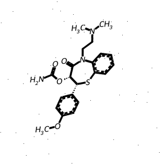 COc1ccc([C@H]2Sc3ccccc3N(CCN(C)C)C(=O)[C@H]2OC(N)=O)cc1